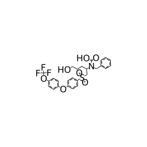 O=C(O)N(Cc1ccccc1)C(CCCO)CS(=O)(=O)c1ccc(Oc2ccc(OC(F)(F)F)cc2)cc1